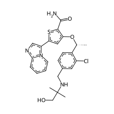 C[C@@H](Oc1cc(-c2cnc3ccccn23)sc1C(N)=O)c1ccc(CNC(C)(C)CO)cc1Cl